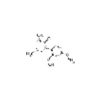 CNC(=O)N(CSC)c1ccc(OC)cc1OC